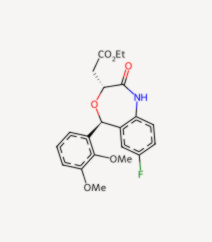 CCOC(=O)C[C@H]1O[C@H](c2cccc(OC)c2OC)c2cc(F)ccc2NC1=O